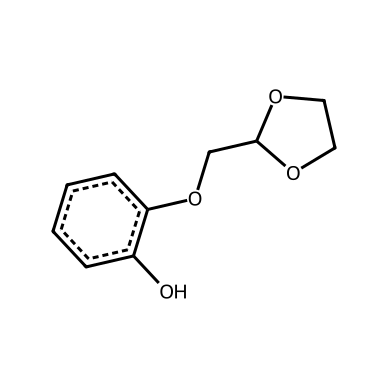 Oc1ccccc1OCC1OCCO1